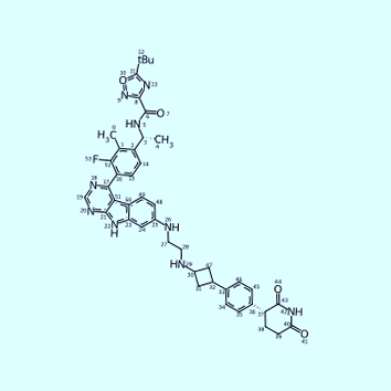 Cc1c([C@@H](C)NC(=O)c2noc(C(C)(C)C)n2)ccc(-c2ncnc3[nH]c4cc(NCCNC5CC(c6ccc([C@H]7CCC(=O)NC7=O)cc6)C5)ccc4c23)c1F